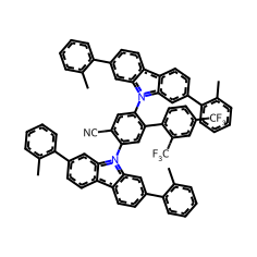 Cc1ccccc1-c1ccc2c3ccc(-c4ccccc4C)cc3n(-c3cc(-c4ccc(C(F)(F)F)cc4C(F)(F)F)c(-n4c5cc(-c6ccccc6C)ccc5c5ccc(-c6ccccc6C)cc54)cc3C#N)c2c1